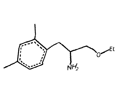 CCOCC(N)Cc1ccc(C)cc1C